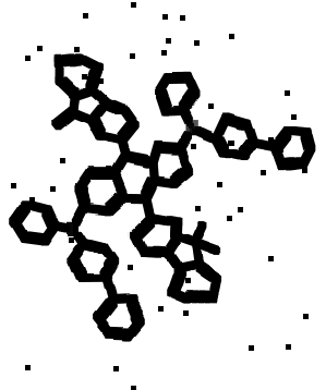 C=C1c2ccccc2-c2ccc(-c3c4ccc(N(c5ccccc5)c5ccc(-c6ccccc6)cc5)cc4c(-c4ccc5c(c4)C(C)(C)c4ccccc4-5)c4ccc(N(c5ccccc5)c5ccc(-c6ccccc6)cc5)cc34)cc21